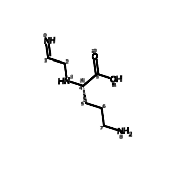 N=CCN[C@@H](CCCN)C(=O)O